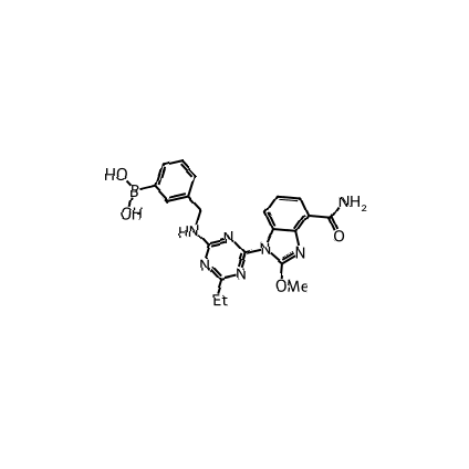 CCc1nc(NCc2cccc(B(O)O)c2)nc(-n2c(OC)nc3c(C(N)=O)cccc32)n1